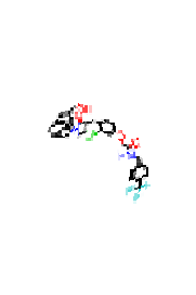 O=C(COc1ccc(CC2CCN(C34CC5CC(CC(CO)(C5)C3)C4)C2=O)c(Cl)c1)NCc1ccc(C(F)(F)F)cc1